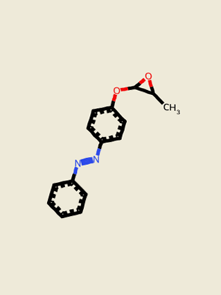 CC1OC1Oc1ccc(N=Nc2ccccc2)cc1